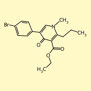 CCCc1c(C(=O)OCC)c(=O)c(-c2ccc(Br)cc2)cn1C